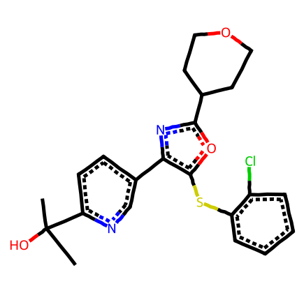 CC(C)(O)c1ccc(-c2nc(C3CCOCC3)oc2Sc2ccccc2Cl)cn1